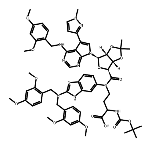 COc1ccc(CNc2ncnc3c2c(-c2ccn(C)n2)cn3[C@@H]2O[C@H](C(=O)N(CCC(NC(=O)OC(C)(C)C)C(=O)O)c3ccc4nc(N(Cc5ccc(OC)cc5OC)Cc5ccc(OC)cc5OC)[nH]c4c3)[C@H]3OC(C)(C)O[C@H]32)c(OC)c1